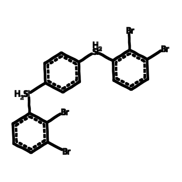 Brc1cccc([SiH2]c2ccc([SiH2]c3cccc(Br)c3Br)cc2)c1Br